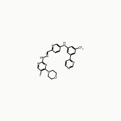 Fc1cnc(N/N=C/c2ccc(Nc3cc(-c4ccncn4)cc(C(F)(F)F)c3)cn2)nc1N1CCOCC1